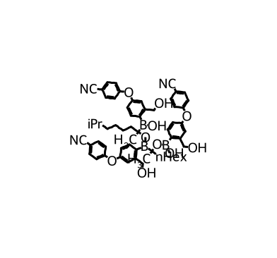 CCCCCCC(C)(OB(O)c1ccc(Oc2ccc(C#N)cc2)cc1CO)B(OC(C)(CCCCC(C)C)B(O)c1ccc(Oc2ccc(C#N)cc2)cc1CO)c1ccc(Oc2ccc(C#N)cc2)cc1CO